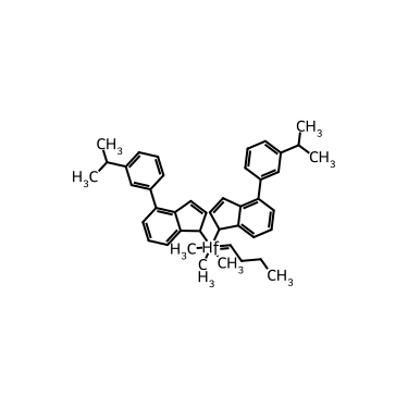 CCC[CH]=[Hf]([CH3])([CH3])([CH3])([CH]1C=Cc2c(-c3cccc(C(C)C)c3)cccc21)[CH]1C=Cc2c(-c3cccc(C(C)C)c3)cccc21